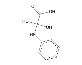 O=C(O)C(O)(O)Nc1ccccc1